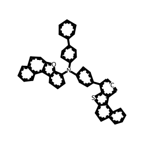 c1ccc(-c2ccc(N(c3ccc(-c4cccc5c4sc4ccc6ccccc6c45)cc3)c3cccc4c3oc3ccc5ccccc5c34)cc2)cc1